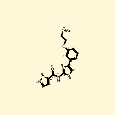 COCCOc1cccc(-c2csc(NC(=O)c3ccno3)n2)c1